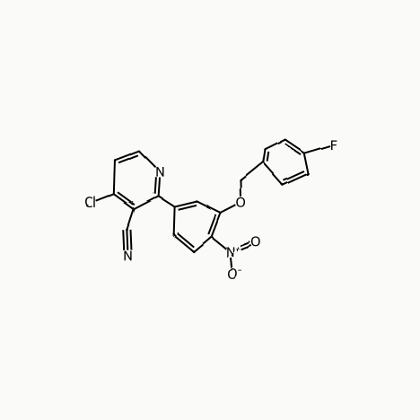 N#Cc1c(Cl)ccnc1-c1ccc([N+](=O)[O-])c(OCc2ccc(F)cc2)c1